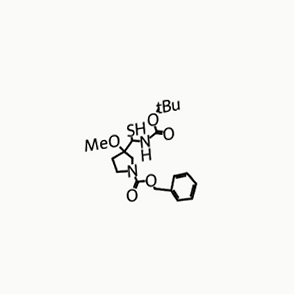 COC1(C(S)NC(=O)OC(C)(C)C)CCN(C(=O)OCc2ccccc2)C1